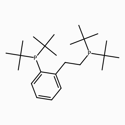 CC(C)(C)P(CCc1ccccc1P(C(C)(C)C)C(C)(C)C)C(C)(C)C